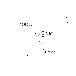 CCCCCCCCC=C(O)CCC(=O)[O-].[Na+]